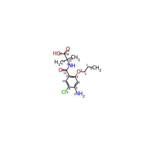 CCCOc1cc(N)c(Cl)cc1C(=O)NC(C)(C)C(=O)O